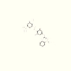 CCNc1cc(C)cc(COc2c(Cl)cc(CC(=O)N[C@H](C(=O)O)c3ccccc3)cc2Cl)c1